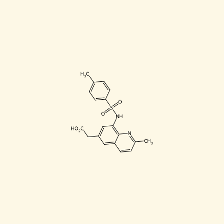 Cc1ccc(S(=O)(=O)Nc2cc(CC(=O)O)cc3ccc(C)nc23)cc1